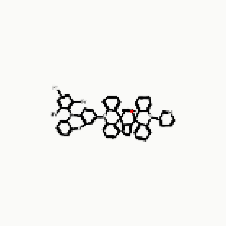 CC(C)c1cc(C(C)C)c(B2c3ccccc3Sc3cc(N4c5ccccc5C5(c6ccccc64)c4ccccc4C4(c6ccccc6N(c6cccnc6)c6ccccc64)c4ccccc45)ccc32)c(C(C)C)c1